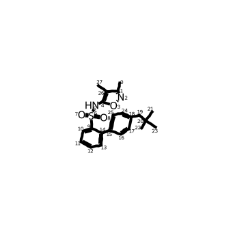 Cc1noc(NS(=O)(=O)c2ccccc2-c2ccc(CC(C)(C)C)cc2)c1C